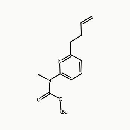 C=CCCc1cccc(N(C)C(=O)OC(C)(C)C)n1